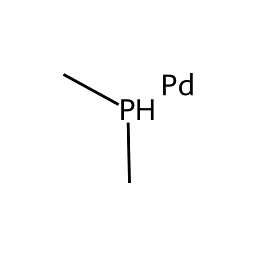 CPC.[Pd]